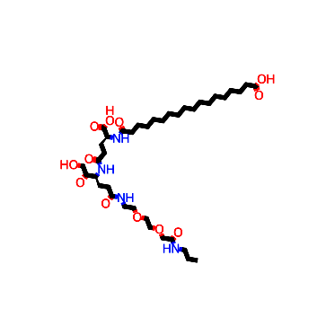 CCCNC(=O)COCCOCCNC(=O)CC[C@H](NC(=O)CC[C@H](NC(=O)CCCCCCCCCCCCCCCCC(=O)O)C(=O)O)C(=O)CO